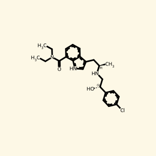 CCN(CC)C(=O)c1cccc2c(C[C@@H](C)NC[C@@H](O)c3ccc(Cl)cc3)c[nH]c12